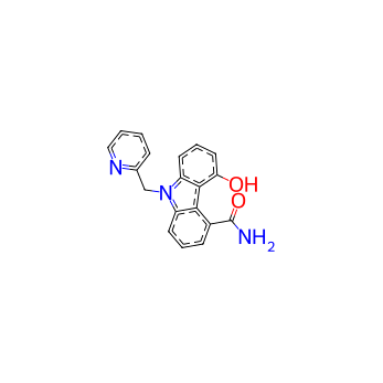 NC(=O)c1cccc2c1c1c(O)cccc1n2Cc1ccccn1